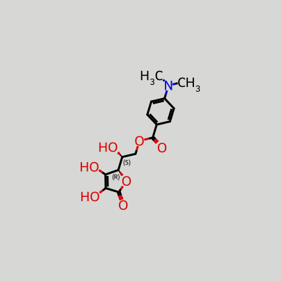 CN(C)c1ccc(C(=O)OC[C@H](O)[C@H]2OC(=O)C(O)=C2O)cc1